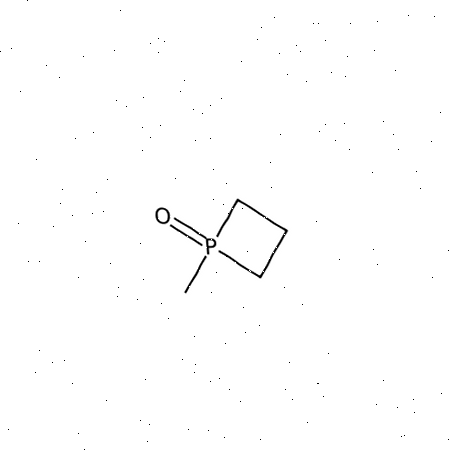 CP1(=O)CCC1